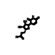 CC(C)C(=O)OC[C@H]1OC(n2ccc(=O)[nH]c2=S)[C@H](O)[C@@H]1O